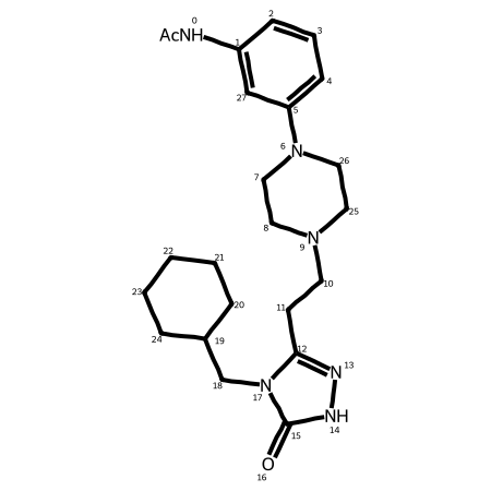 CC(=O)Nc1cccc(N2CCN(CCc3n[nH]c(=O)n3CC3CCCCC3)CC2)c1